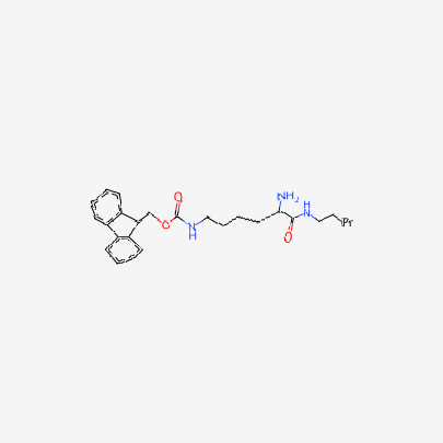 CC(C)CCNC(=O)C(N)CCCCNC(=O)OCC1c2ccccc2-c2ccccc21